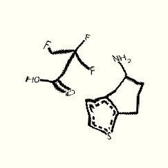 NC1CCc2sccc21.O=C(O)C(F)(F)F